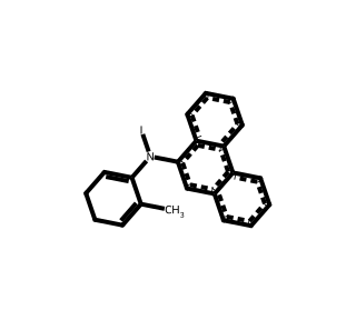 CC1=CCCC=C1N(I)c1cc2ccccc2c2ccccc12